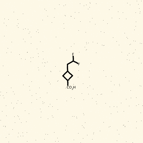 O=C(O)C1CC(CC(F)F)C1